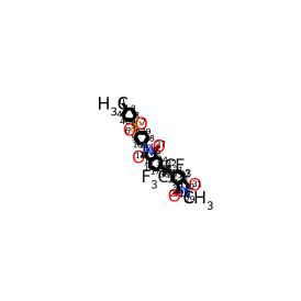 Cc1ccc(S(=O)(=O)c2ccc(N3C(=O)c4ccc(C(c5ccc6c(c5)C(=O)N(C)C6=O)(C(F)(F)F)C(F)(F)F)cc4C3=O)cc2)cc1